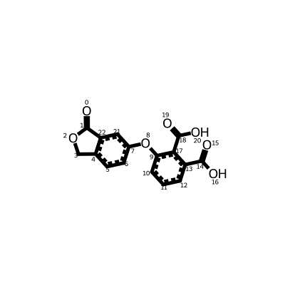 O=C1OCc2ccc(Oc3cccc(C(=O)O)c3C(=O)O)cc21